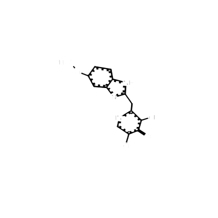 COc1ccc2[nH]c(Cc3[nH]cc(C)c(=O)c3C)nc2c1